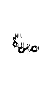 NN=N[C@@H]1CCN(C2C=CC=C(C(=O)Nc3ccncc3)N2)C1